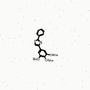 COc1cc(-c2csc(-c3cc[c]cc3)n2)cc(OC)c1OC